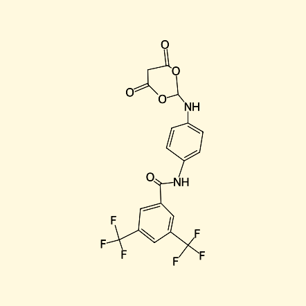 O=C1CC(=O)OC(Nc2ccc(NC(=O)c3cc(C(F)(F)F)cc(C(F)(F)F)c3)cc2)O1